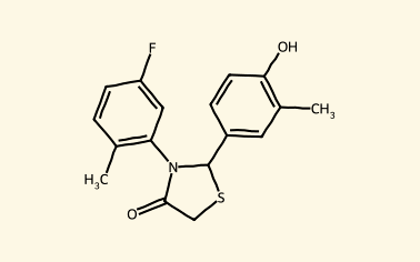 Cc1cc(C2SCC(=O)N2c2cc(F)ccc2C)ccc1O